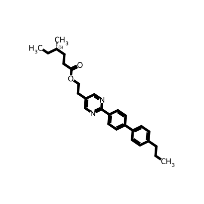 CCCc1ccc(-c2ccc(-c3ncc(CCOC(=O)CC[C@@H](C)CC)cn3)cc2)cc1